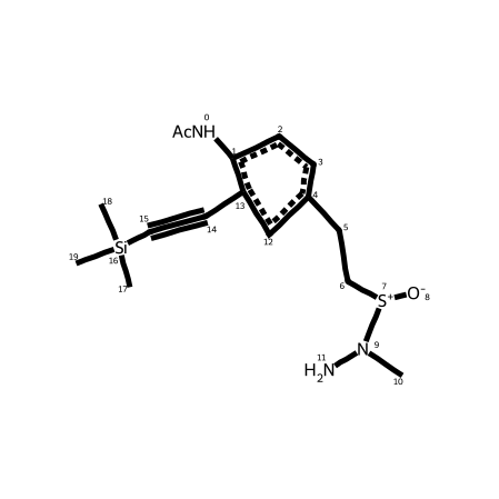 CC(=O)Nc1ccc(CC[S+]([O-])N(C)N)cc1C#C[Si](C)(C)C